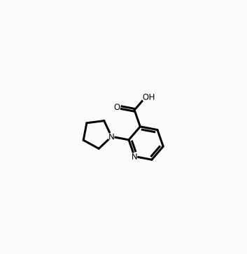 O=C(O)c1cccnc1N1CCCC1